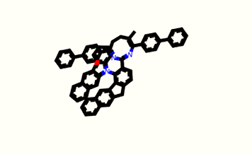 C/C1=C(c2ccc(-c3ccccc3)cc2)/N=C(c2ccc3c(c2-n2c4ccccc4c4cc5ccccc5cc42)-c2cc4ccccc4cc2C3)\N=C(\c2ccc(-c3ccccc3)cc2)CC1